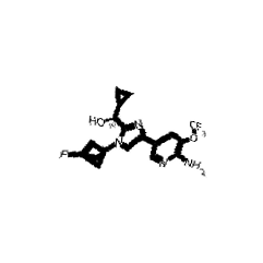 Nc1ncc(-c2cn(C34CC(F)(C3)C4)c([C@@H](O)C3CC3)n2)cc1OC(F)(F)F